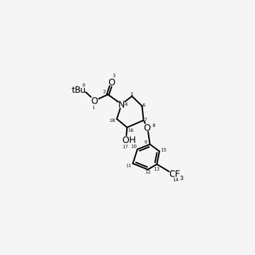 CC(C)(C)OC(=O)N1CCC(Oc2cccc(C(F)(F)F)c2)C(O)C1